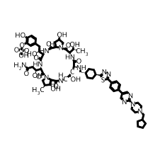 C[C@@H](O)[C@@H]1NC(=O)[C@@H](NC[C@H]2CC[C@H](c3nnc(-c4ccc(-c5cnc(N6CCN(CC7CCCC7)CC6)nc5)cc4)s3)CC2)C[C@@H](O)CNC(=O)[C@@H]2[C@@H](O)[C@@H](C)CN2C(=O)[C@H]([C@H](O)CC(N)=O)NC(=O)[C@H]([C@H](O)Cc2ccc(O)c(OS(=O)(=O)O)c2)NC(=O)[C@@H]2CC(O)CN2C1=O